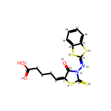 O=C(O)CCCC=C1SC(=S)N(N=c2sc3ccccc3s2)C1=O